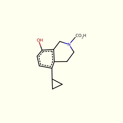 O=C(O)N1CCc2c(C3CC3)ccc(O)c2C1